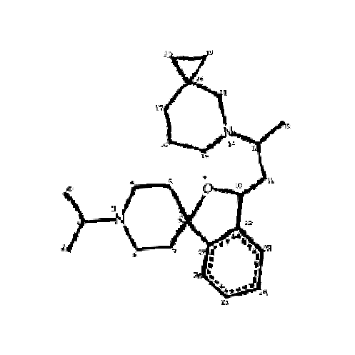 CC(C)N1CCC2(CC1)OC(CC(C)N1CCCC3(CC3)C1)c1ccccc12